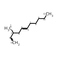 C=CC(C)CC=CCCCCC